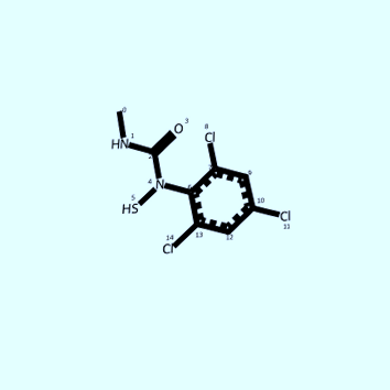 CNC(=O)N(S)c1c(Cl)cc(Cl)cc1Cl